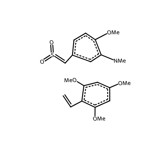 C=Cc1c(OC)cc(OC)cc1OC.CNc1cc(C=S(=O)=O)ccc1OC